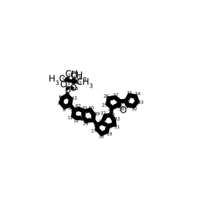 CC1(C)OB(c2cccc(-c3ccc4cc(-c5cccc6ccc(-c7cccc8c7oc7ccccc78)cc56)ccc4c3)c2)OC1(C)C